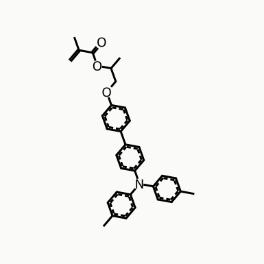 C=C(C)C(=O)OC(C)COc1ccc(-c2ccc(N(c3ccc(C)cc3)c3ccc(C)cc3)cc2)cc1